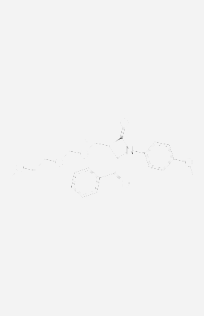 COCCOCO[C@H](C)[C@H]1C(=O)N(c2ccc(OC)cc2)[C@@H]1C(=O)c1ccccc1